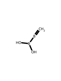 C=BB(O)O